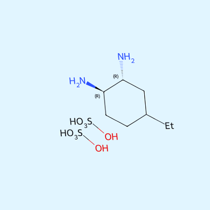 CCC1CC[C@@H](N)[C@H](N)C1.O=S(=O)(O)O.O=S(=O)(O)O